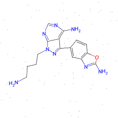 NCCCCn1nc(-c2ccc3oc(N)nc3c2)c2c(N)ncnc21